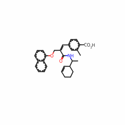 Cc1cc(C=C(COc2cccc3ccccc23)C(=O)NC(C)C2C=CCCC2)ccc1C(=O)O